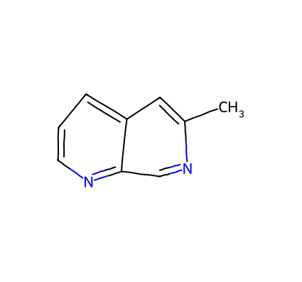 Cc1cc2cccnc2cn1